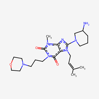 CC(C)=CCn1c(N2CCCC(N)C2)nc2c1c(=O)n(CCCN1CCOCC1)c(=O)n2C